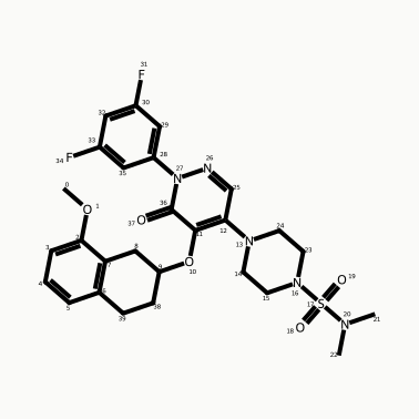 COc1cccc2c1CC(Oc1c(N3CCN(S(=O)(=O)N(C)C)CC3)cnn(-c3cc(F)cc(F)c3)c1=O)CC2